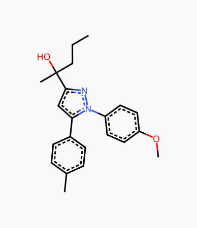 CCCC(C)(O)c1cc(-c2ccc(C)cc2)n(-c2ccc(OC)cc2)n1